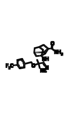 CC(C)(OCc1ccc(C(F)(F)F)cc1)/C(=N\C#N)NC12CC3CC(C1)CC(C(N)=O)(C3)C2